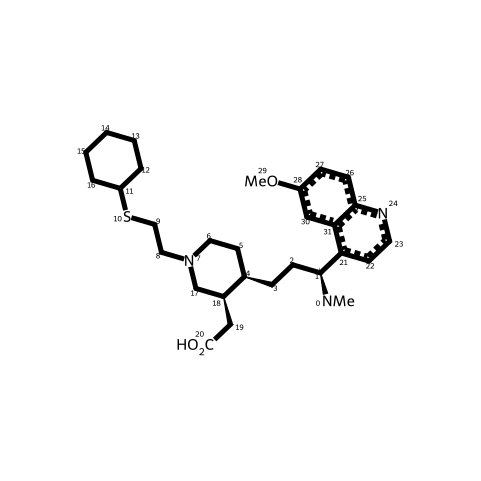 CN[C@@H](CC[C@@H]1CCN(CCSC2CCCCC2)C[C@@H]1CC(=O)O)c1ccnc2ccc(OC)cc12